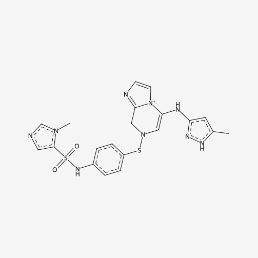 Cc1cc(NC2=CN(Sc3ccc(NS(=O)(=O)c4cncn4C)cc3)CC3=NC=C[N+]23)n[nH]1